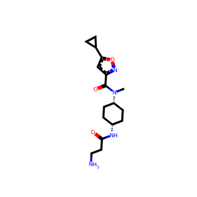 CN(C(=O)c1cc(C2CC2)on1)[C@H]1CC[C@@H](NC(=O)CCN)CC1